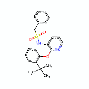 CC(C)(C)c1ccccc1Oc1ncccc1NS(=O)(=O)Cc1ccccc1